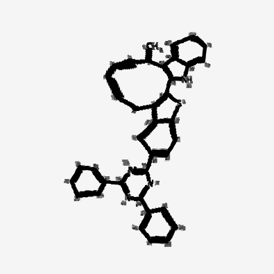 C=C1/C=C\C=C/Cc2c(sc3ccc(-c4nc(-c5ccccc5)nc(-c5ccccc5)n4)cc23)-c2[nH]c3ccccc3c21